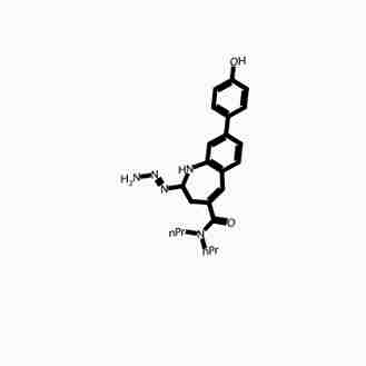 CCCN(CCC)C(=O)C1=Cc2ccc(-c3ccc(O)cc3)cc2NC(N=NN)C1